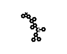 CC1(C)c2ccccc2-c2cc(-c3ccc(-c4ccc(-c5cc(-c6ccc(-c7ccccc7)c(-c7ccccc7)c6)nc(-c6ccccc6)n5)c5ccccc45)c4ccccc34)ccc21